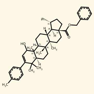 Cc1ccc(C2=CC(O)[C@]3(C)[C@H]4CC[C@@H]5[C@H]6[C@H](C(C)C)CC[C@]6(C(=O)OCc6ccccc6)CC[C@@]5(C)[C@]4(C)CC[C@H]3C2(C)C)cc1